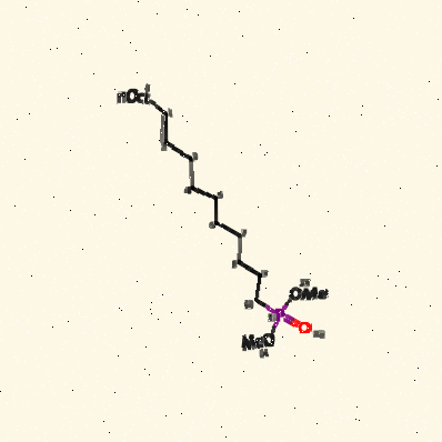 CCCCCCCCC=CCCCCCCCCP(=O)(OC)OC